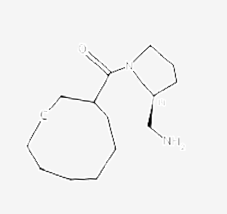 NC[C@@H]1CCCN1C(=O)C1CCCCCCCC1